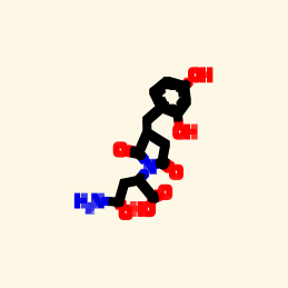 NC(=O)CC(C(=O)O)N1C(=O)CC(Cc2ccc(O)cc2O)C1=O